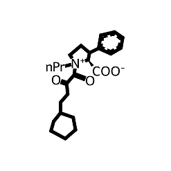 CCC[N+]1(C(=O)C(=O)CCC2CCCCC2)CCC(c2ccccc2)[C@H]1C(=O)[O-]